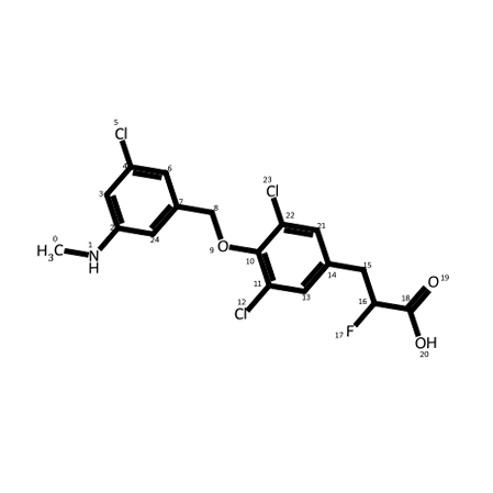 CNc1cc(Cl)cc(COc2c(Cl)cc(CC(F)C(=O)O)cc2Cl)c1